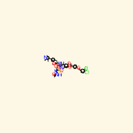 COC(=O)[C@H](Cc1ccc(-c2ccnc(C)c2C)cc1)NC(=O)[C@@H]1Cc2cc3c(cc2CN1S(=O)(=O)c1sc(NC(C)=O)nc1C)O[C@@H](c1ccc(OCc2ccc(Cl)c(Cl)c2)cc1)CO3